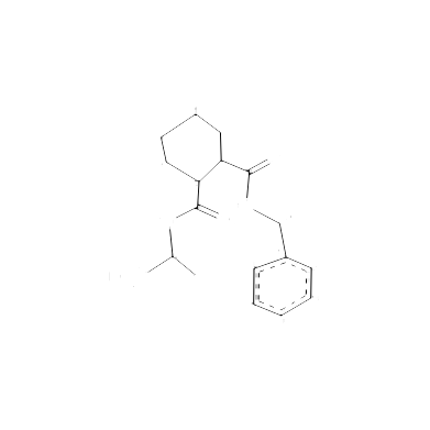 CC(OC(=O)C1CCCCC1C(=O)OCc1ccccc1)C(=O)O